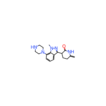 C=C1CCC(c2nn(C)c3c(N4CCNCC4)cccc23)C(=O)N1